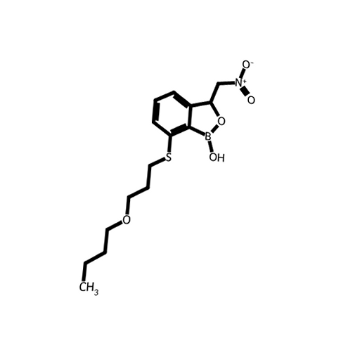 CCCCOCCCSc1cccc2c1B(O)OC2C[N+](=O)[O-]